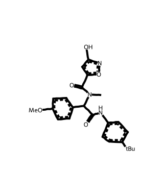 COc1ccc(C(C(=O)Nc2ccc(C(C)(C)C)cc2)N(C)C(=O)c2cc(O)no2)cc1